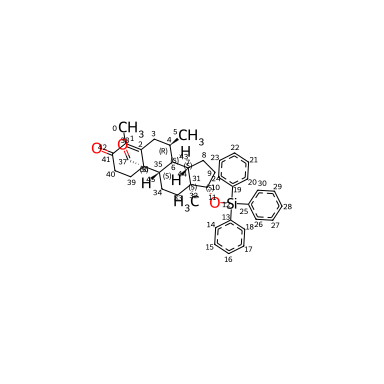 CC1=C2C[C@@H](C)[C@H]3[C@@H]4CC[C@H](O[Si](c5ccccc5)(c5ccccc5)c5ccccc5)[C@@]4(C)CC[C@@H]3[C@@]2(C=O)CCC1=O